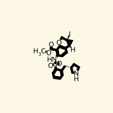 COC(=O)c1c(NS(=O)(=O)c2ccccc2C[C@@H]2CCNC2)ccc2c1OC[C@]1(I)C[C@H]21